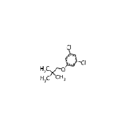 CC(C)(C)COc1cc(Cl)cc(Cl)c1